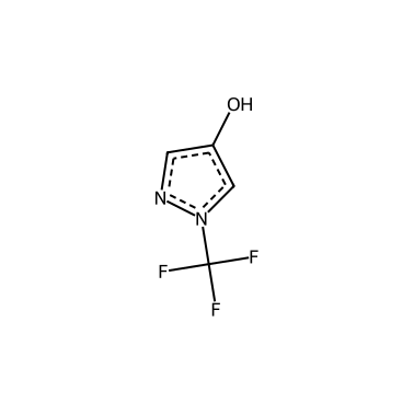 Oc1cnn(C(F)(F)F)c1